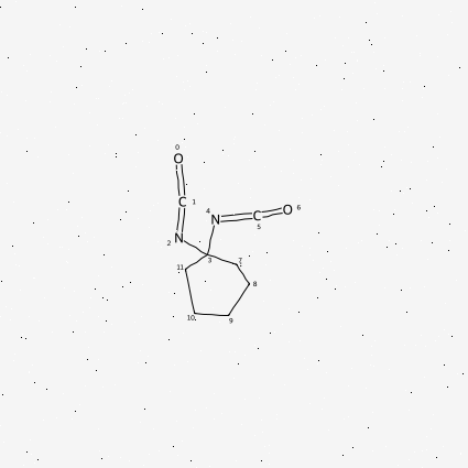 O=C=NC1(N=C=O)[C]CCCC1